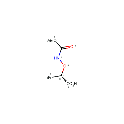 COC(=O)NO[C@@H](C(=O)O)C(C)C